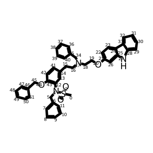 CS(=O)(=O)N(Cc1ccccc1)c1cc([CH][CH]N(CCOc2ccc3c(c2)[nH]c2ccccc23)Cc2ccccc2)ccc1OCc1ccccc1